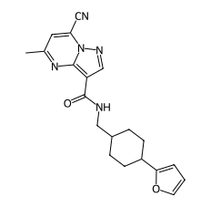 Cc1cc(C#N)n2ncc(C(=O)NCC3CCC(c4ccco4)CC3)c2n1